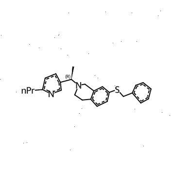 CCCc1ccc([C@@H](C)N2CCc3ccc(SCc4ccccc4)cc3C2)cn1